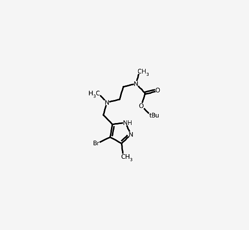 Cc1n[nH]c(CN(C)CCN(C)C(=O)OC(C)(C)C)c1Br